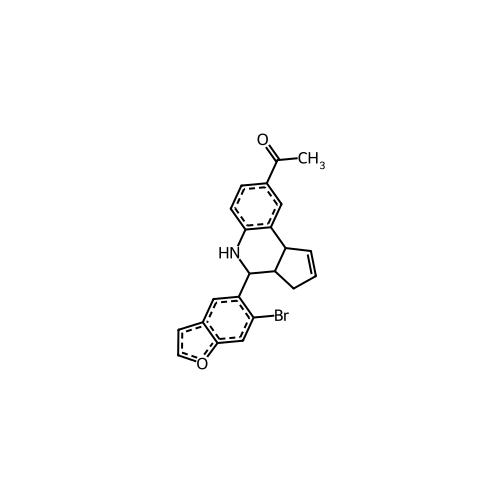 CC(=O)c1ccc2c(c1)C1C=CCC1C(c1cc3ccoc3cc1Br)N2